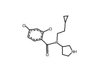 O=C(c1ccc(Cl)cc1Cl)N(CCC1CC1)C1CCNC1